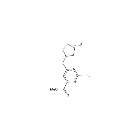 COC(=O)c1cc(CN2CC[C@H](F)C2)nc(C(F)(F)F)n1